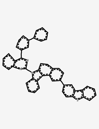 c1ccc(-c2cccc(-c3nc(-n4c5ccccc5c5c6cc(-c7ccc8sc9ccccc9c8c7)ccc6ccc54)nc4ccccc34)c2)cc1